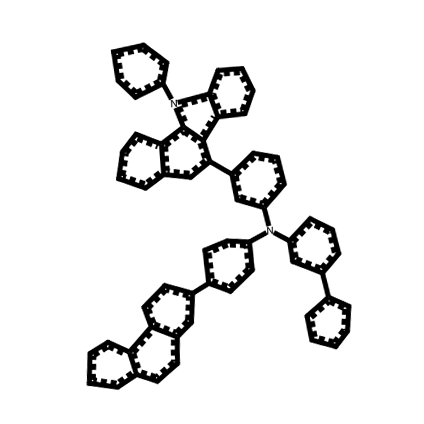 c1ccc(-c2cccc(N(c3ccc(-c4ccc5c(ccc6ccccc65)c4)cc3)c3cccc(-c4cc5ccccc5c5c4c4ccccc4n5-c4ccccc4)c3)c2)cc1